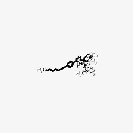 CCCCCCC#Cc1ccc(-c2cnc(C3(NC(=O)OC(C)(C)C)COC(C)(C)OC3)[nH]2)cc1